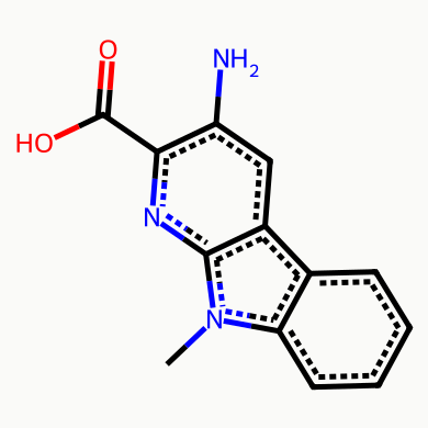 Cn1c2ccccc2c2cc(N)c(C(=O)O)nc21